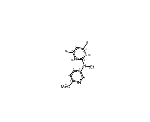 CCN(c1ccc(OC)nc1)c1nc(C)cc(C)n1